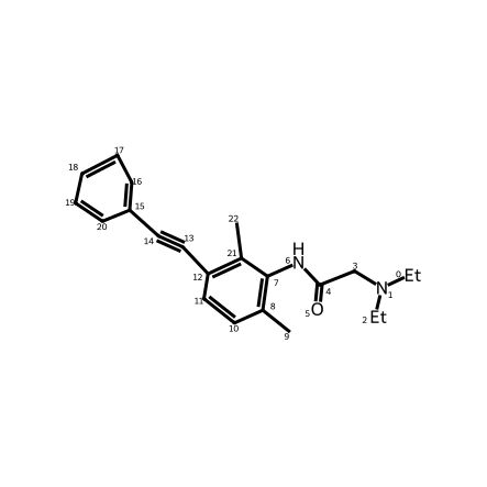 CCN(CC)CC(=O)Nc1c(C)ccc(C#Cc2ccccc2)c1C